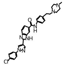 CN1CCN(CCc2ccc(NC(=O)c3ccc4nc(-c5cnn(-c6ccc(Cl)cc6)c5)[nH]c4c3)cc2)CC1